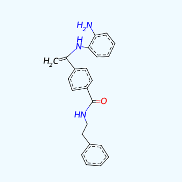 C=C(Nc1ccccc1N)c1ccc(C(=O)NCCc2ccccc2)cc1